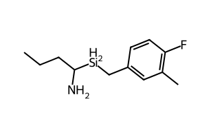 CCCC(N)[SiH2]Cc1ccc(F)c(C)c1